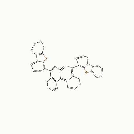 C1=Cc2c(sc3c(-c4cc5cc(-c6cccc7c6sc6ccccc67)c6c(c5c5c4CCC=C5)C=CCC6)cccc23)CC1